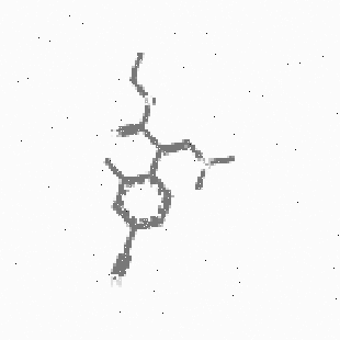 CCOC(=O)/C(=C/N(C)C)c1ccc(C#N)cc1C